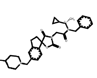 C[C@@H](C1CC1)N(Cc1ccccc1)C(=O)CN1C(=O)OC2(CCc3cc(CN4CCC(O)CC4)ccc32)C1=O